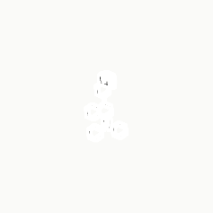 c1ccc(N(c2ccccc2)c2ccc(-c3ccc4c(c3)C3CCCC4CC3)c3ccccc23)cc1